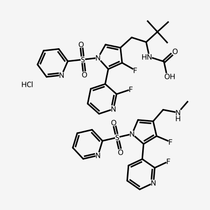 CC(C)(C)C(Cc1cn(S(=O)(=O)c2ccccn2)c(-c2cccnc2F)c1F)NC(=O)O.CNCc1cn(S(=O)(=O)c2ccccn2)c(-c2cccnc2F)c1F.Cl